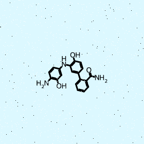 NC(=O)c1ccccc1-c1ccc(O)c(Nc2ccc(N)c(O)c2)c1